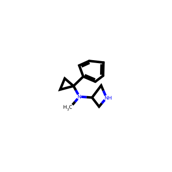 CN(C1CNC1)C1(c2ccccc2)CC1